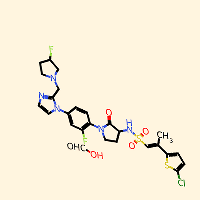 C/C(=C\S(=O)(=O)NC1CCN(c2ccc(-n3ccnc3CN3CCC(F)C3)cc2F)C1=O)c1ccc(Cl)s1.O=CO